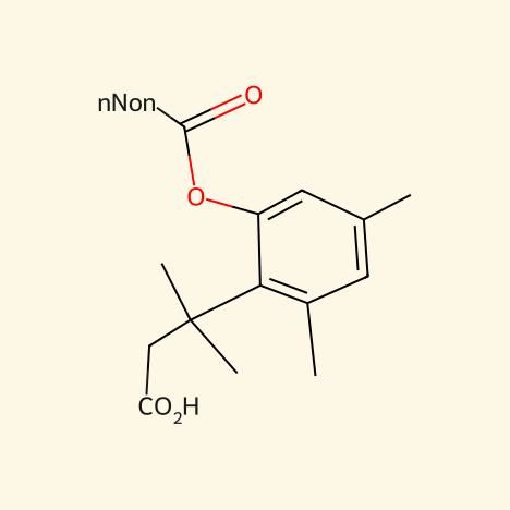 CCCCCCCCCC(=O)Oc1cc(C)cc(C)c1C(C)(C)CC(=O)O